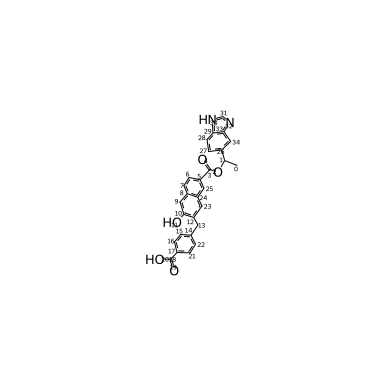 CC(OC(=O)c1ccc2cc(O)c(Cc3ccc(C(=O)O)cc3)cc2c1)c1ccc2[nH]cnc2c1